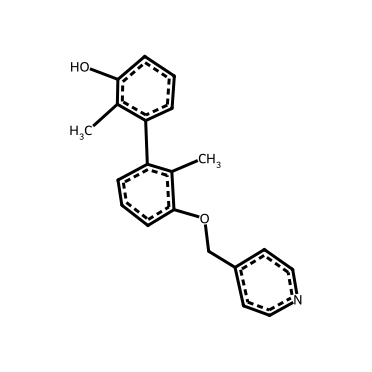 Cc1c(O)cccc1-c1cccc(OCc2ccncc2)c1C